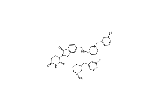 N[C@@H]1CCCN(Cc2cccc(Cl)c2)C1.O=C1CCC(N2Cc3cc(CN[C@@H]4CCCN(Cc5cccc(Cl)c5)C4)ccc3C2=O)C(=O)N1